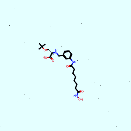 CC(C)(C)OC[C@H](NCc1cccc(NC(=O)CCCCCCC(=O)NO)c1)C(=O)O